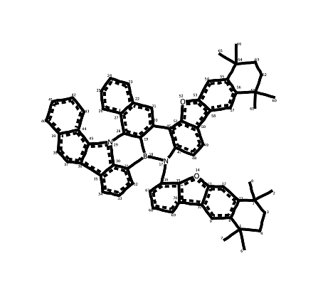 CC1(C)CCC(C)(C)c2cc3c(cc21)oc1c(N2B4c5c(cc6ccccc6c5-n5c6c4cccc6c4ccc6ccccc6c45)-c4c2ccc2c4oc4cc5c(cc42)C(C)(C)CCC5(C)C)cccc13